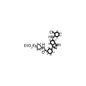 CCOC(=O)N1CCC(NC(=O)c2cccc(-c3n[nH]c4cc(Nc5ccccc5Cl)ccc34)c2)CC1